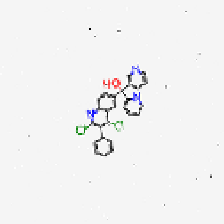 OC(c1cccnc1)(c1ccc2nc(Cl)c(-c3ccccc3)c(Cl)c2c1)c1ccccn1